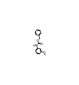 COc1[c]ccc(NC(=O)OCc2ccccc2)c1